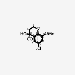 COc1cc(Cl)cc2c1SCC[C@]2(O)C(=O)O